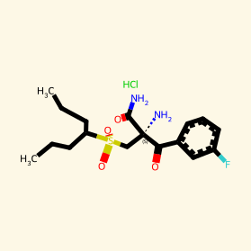 CCCC(CCC)S(=O)(=O)C[C@@](N)(C(N)=O)C(=O)c1cccc(F)c1.Cl